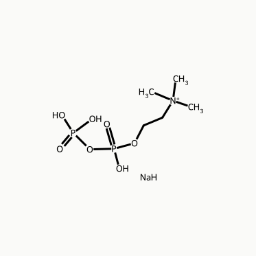 C[N+](C)(C)CCOP(=O)(O)OP(=O)(O)O.[NaH]